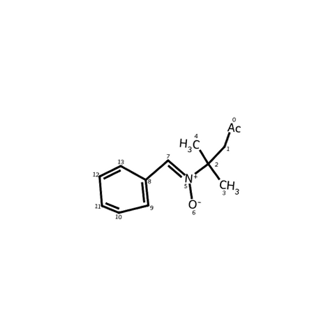 CC(=O)CC(C)(C)[N+]([O-])=Cc1ccccc1